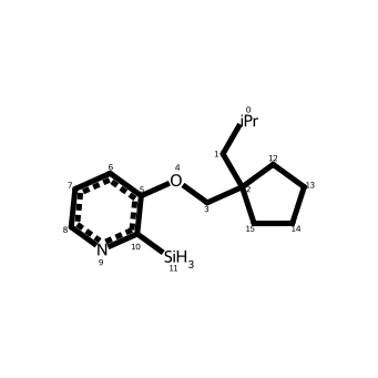 CC(C)CC1(COc2cccnc2[SiH3])CCCC1